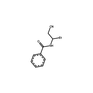 CCC(CC#N)NC(=O)c1ccccc1